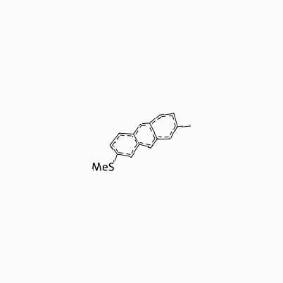 CSc1ccc2cc3ccc(C)cc3cc2c1